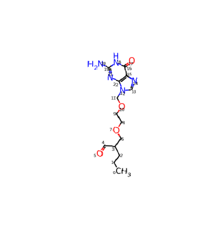 CCCC(C=O)COCCOCn1cnc2c(=O)[nH]c(N)nc21